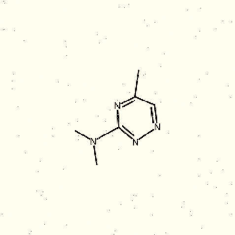 Cc1cnnc(N(C)C)n1